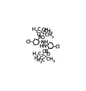 CC1(C)OB(c2cc(Cl)ccc2NNc2ccc(Cl)cc2B2OC(C)(C)C(C)(C)O2)OC1(C)C